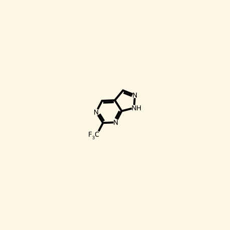 FC(F)(F)c1ncc2cn[nH]c2n1